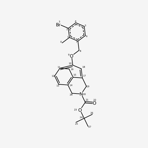 Cc1c(Br)cccc1COC1=C2C=CC3=C(C2)C(=C1)CN(C(=O)OC(C)(C)C)C3